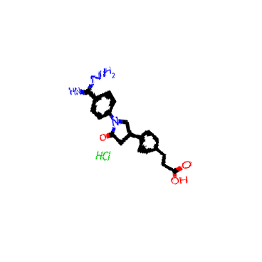 Cl.N=C(N)c1ccc(N2CC(c3ccc(CCC(=O)O)cc3)CC2=O)cc1